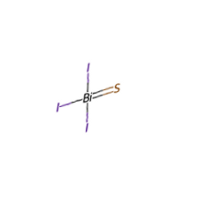 [S]=[Bi]([I])([I])[I]